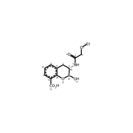 CCOCC(=O)N[C@H]1Cc2cccc(C(=O)O)c2OB1O